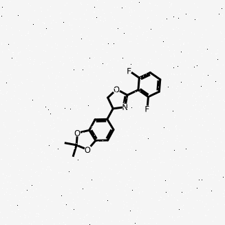 CC1(C)Oc2ccc(C3COC(c4c(F)cccc4F)=N3)cc2O1